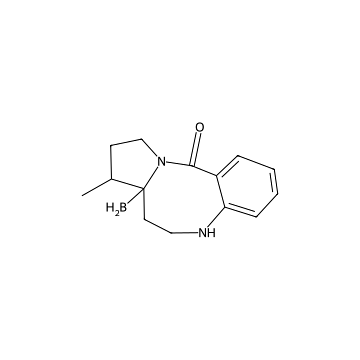 BC12CCNc3ccccc3C(=O)N1CCC2C